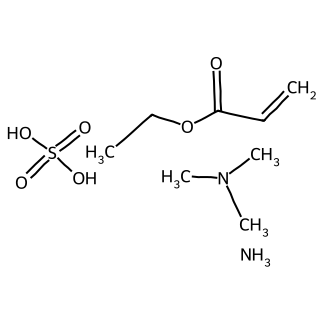 C=CC(=O)OCC.CN(C)C.N.O=S(=O)(O)O